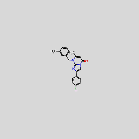 Cc1cccc(Cn2c(C)cc(=O)n3cc(-c4ccc(Cl)cc4)nc23)c1